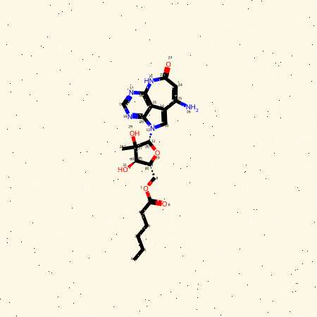 CCCCCC(=O)OC[C@H]1O[C@@H](n2cc3c4c(ncnc42)NC(=O)C=C3N)C(C)(O)[C@@H]1O